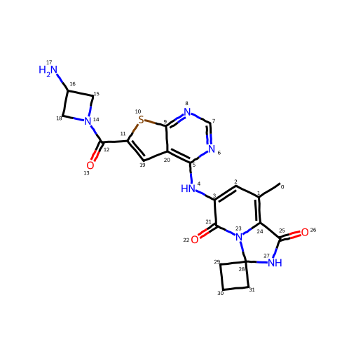 Cc1cc(Nc2ncnc3sc(C(=O)N4CC(N)C4)cc23)c(=O)n2c1C(=O)NC21CCC1